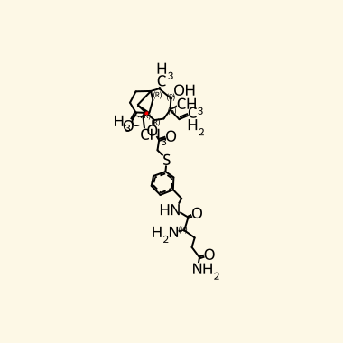 C=C[C@]1(C)C[C@@H](OC(=O)CSc2cccc(CNC(=O)[C@H](N)CCC(N)=O)c2)[C@]2(C)C(C)CC34CC(CCC3=O)(C42)[C@@H](C)[C@@H]1O